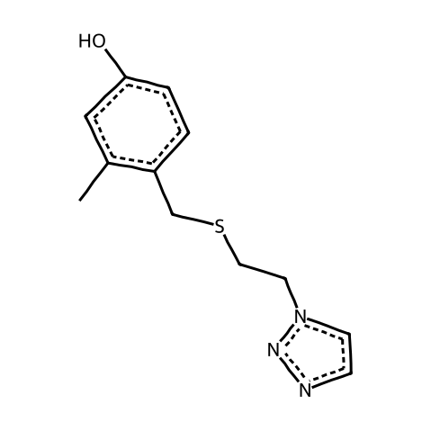 Cc1cc(O)ccc1CSCCn1ccnn1